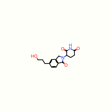 O=C1CCC(N2Cc3cc(CCCO)ccc3C2=O)C(=O)N1